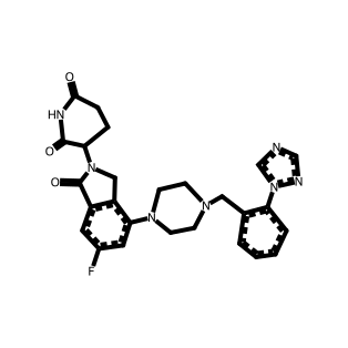 O=C1CCC(N2Cc3c(cc(F)cc3N3CCN(Cc4ccccc4-n4cncn4)CC3)C2=O)C(=O)N1